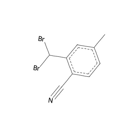 Cc1ccc(C#N)c(C(Br)Br)c1